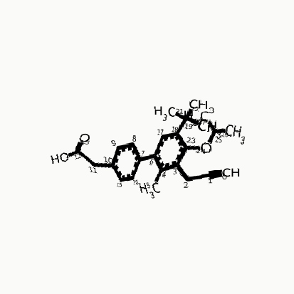 C#CCc1c(C)c(-c2ccc(CC(=O)O)cc2)cc(C(C)(C)C)c1OC(C)C